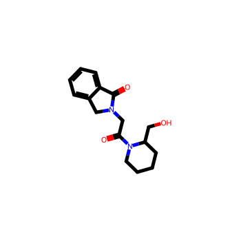 O=C1c2ccccc2CN1CC(=O)N1CCCCC1CO